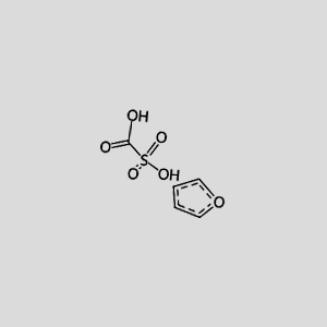 O=C(O)S(=O)(=O)O.c1ccoc1